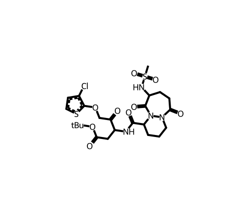 CC(C)(C)OC(=O)CC(NC(=O)C1CCCN2C(=O)CCC(NS(C)(=O)=O)C(=O)N12)C(=O)COc1sccc1Cl